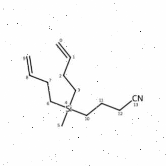 C=CCC[Si](C)(CCC=C)CCCC#N